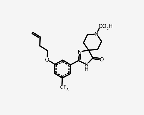 C=CCCOc1cc(C2=NC3(CCN(C(=O)O)CC3)C(=O)N2)cc(C(F)(F)F)c1